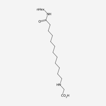 CCCCCCNC(=O)CCCCCCCCCCCNCC(=O)O